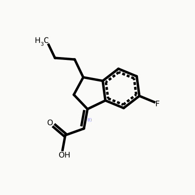 CCCC1C/C(=C\C(=O)O)c2cc(F)ccc21